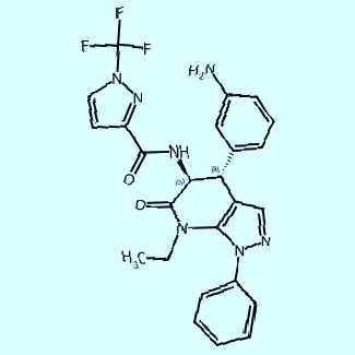 CCN1C(=O)[C@@H](NC(=O)c2ccn(C(F)(F)F)n2)[C@H](c2cccc(N)c2)c2cnn(-c3ccccc3)c21